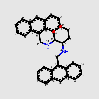 c1ccc2c(CNC3CCCCC3NCc3c4ccccc4cc4ccccc34)c3ccccc3cc2c1